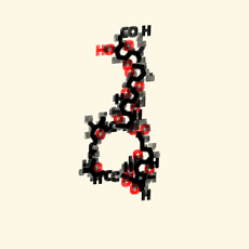 C=C1C[C@@H]2CC[C@]34C[C@H]5OC6(O3)C3[C@@H](O[C@H]7CCC(CC(=O)O[C@H]8C(C[C@H]9OC(CC[C@@H]1O2)C[C@@H](C)C9=C)O[C@H]1C[C@H]2O[C@@]9(CC%10O[C@]%11(C[C@H](C)C%12O[C@H](CC(=O)O)[C@H](O)CC%12O%11)C[C@H](C)C%10O9)C[C@H]2O[C@H]1[C@@H]8C)O[C@@H]7[C@@H]3O4)C56